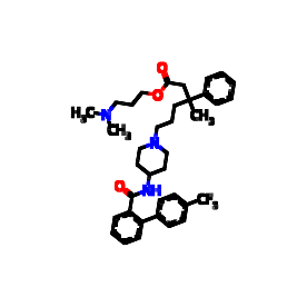 CN(C)CCCOC(=O)CC(C)(CCCN1CCC(NC(=O)c2ccccc2-c2ccc(C(F)(F)F)cc2)CC1)c1ccccc1